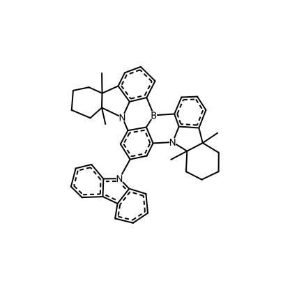 CC12CCCCC1(C)N1c3cc(-n4c5ccccc5c5ccccc54)cc4c3B(c3cccc2c31)c1cccc2c1N4C1(C)CCCCC21C